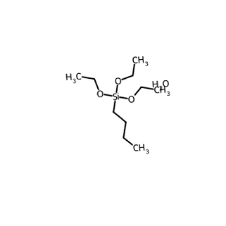 CCCC[Si](OCC)(OCC)OCC.O